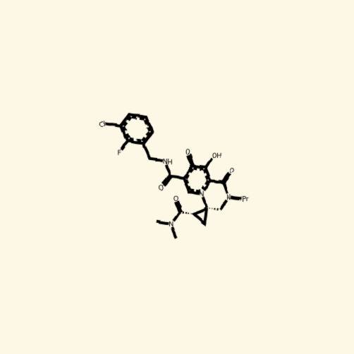 CC(C)N1C[C@@]2(C[C@@H]2C(=O)N(C)C)n2cc(C(=O)NCc3cccc(Cl)c3F)c(=O)c(O)c2C1=O